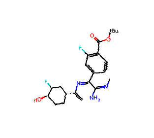 C=C(/N=C(\C(N)=N/C)c1ccc(C(=O)OC(C)(C)C)c(F)c1)[C@@H]1CC[C@@H](O)[C@@H](F)C1